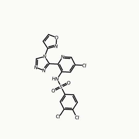 O=S(=O)(Nc1cc(Cl)cnc1-c1nncn1-c1ccon1)c1ccc(Cl)c(Cl)c1